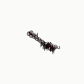 CC(C)[C@H](NC(=O)CCOCCOCCOCCOCCOCCOCCOCCOCCNC(=O)CCN1C(=O)C=CC1=O)C(=O)N(CCCN(C(=O)CO)[C@@H](c1nc(-c2cc(F)ccc2F)cn1Cc1ccccc1)C(C)(C)C)[C@@H](C)C(N)=O